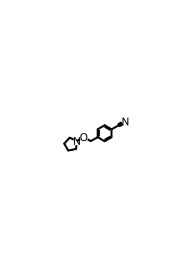 N#Cc1ccc(CON2CCCC2)cc1